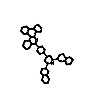 c1ccc2cc(-c3cc(-c4ccc(-c5nc6c7ccccc7c7ccccc7c6c6ccccc56)cc4)cc(-c4ccc5ccccc5c4)n3)ccc2c1